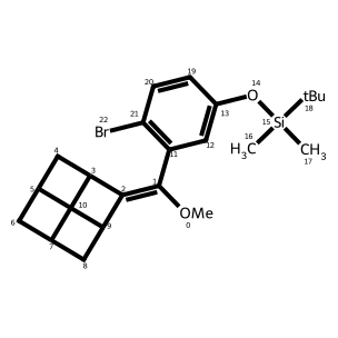 COC(=C1C2CC3CC4CC1C342)c1cc(O[Si](C)(C)C(C)(C)C)ccc1Br